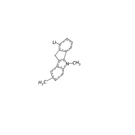 [Li][c]1cccc2c1Cc1c-2n(C)c2ccc(C)cc12